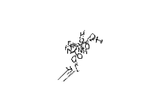 CCOC(=O)c1cnc(C(F)(F)F)nc1N[C@H]1CO[C@H](CO)[C@H](O)[C@@H]1O